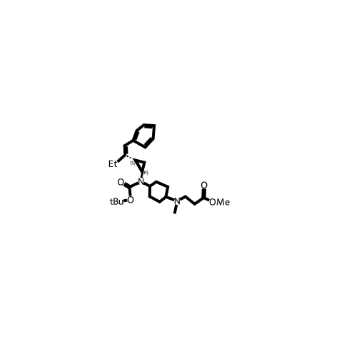 CCC(=Cc1ccccc1)[C@@H]1C[C@H]1N(C(=O)OC(C)(C)C)C1CCC(N(C)CCC(=O)OC)CC1